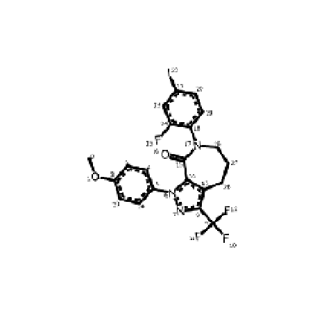 COc1ccc(-n2nc(C(F)(F)F)c3c2C(=O)N(c2ccc(I)cc2F)CCC3)cc1